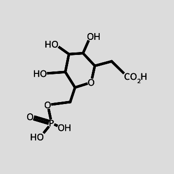 O=C(O)CC1OC(COP(=O)(O)O)C(O)C(O)C1O